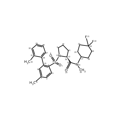 Cc1ccc(S(=O)(=O)N2CCC[C@H]2C(=O)N(C)C2CCC(F)(F)CC2)c(-c2ccccc2C)c1